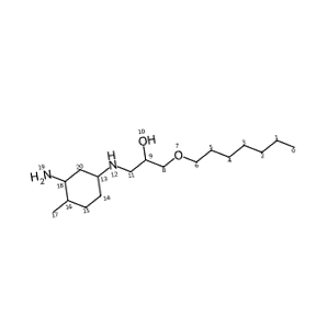 CCCCCCCOCC(O)CNC1CCC(C)C(N)C1